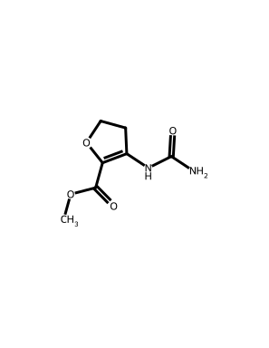 COC(=O)C1=C(NC(N)=O)CCO1